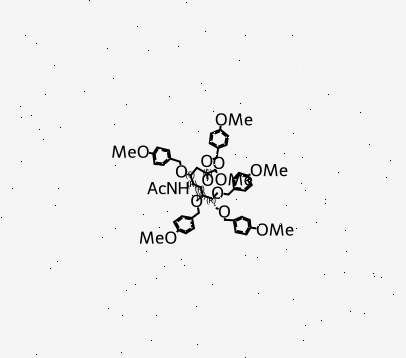 COC(=O)[C@]1(OCc2ccc(OC)cc2)C[C@H](OCc2ccc(OC)cc2)[C@@H](NC(C)=O)[C@H]([C@H](OCc2ccc(OC)cc2)[C@@H](COCc2ccc(OC)cc2)OCc2ccc(OC)cc2)O1